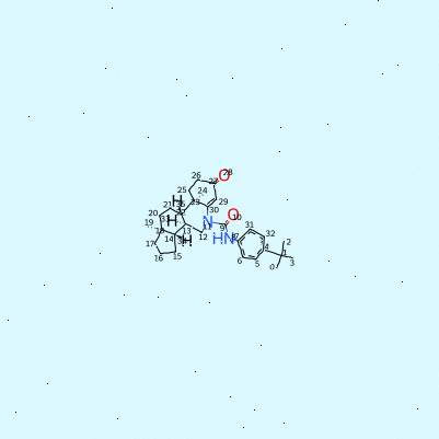 CC(C)(C)c1ccc(NC(=O)N2C[C@H]3[C@@H]4CCC[C@@]4(C)CC[C@@H]3[C@@]3(C)CCC(=O)C=C23)cc1